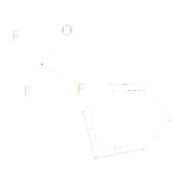 [O]C(F)(F)F.[c]1ccccc1